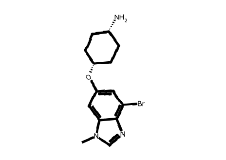 Cn1cnc2c(Br)cc(O[C@H]3CC[C@@H](N)CC3)cc21